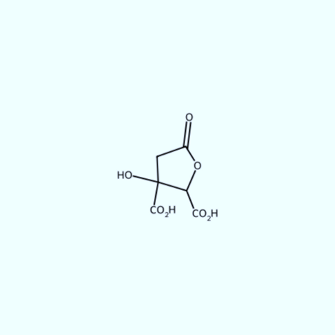 O=C1CC(O)(C(=O)O)C(C(=O)O)O1